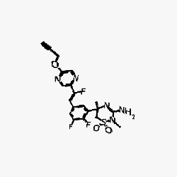 C#CCOc1cnc(C(F)=Cc2cc(F)c(F)c(C3(C)CS(=O)(=O)N(C)C(N)=N3)c2)cn1